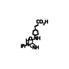 CC(C)N[C@@H]1CNCC1C(=O)Nc1ccc(/C=C/C(=O)O)cc1